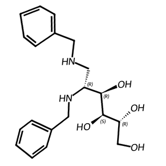 OC[C@@H](O)[C@@H](O)[C@H](O)[C@@H](CNCc1ccccc1)NCc1ccccc1